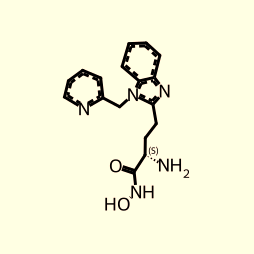 N[C@@H](CCc1nc2ccccc2n1Cc1ccccn1)C(=O)NO